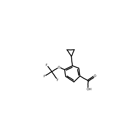 O=C(O)c1ccc(OC(F)(F)F)c(C2CC2)c1